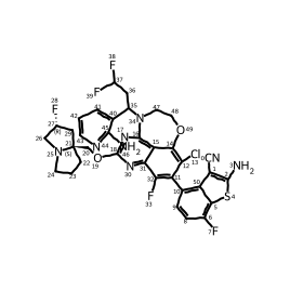 N#Cc1c(N)sc2c(F)ccc(-c3c(Cl)c4c5c(nc(OC[C@@]67CCCN6C[C@H](F)C7)nc5c3F)N(C(CC(F)F)c3cccnc3N)CCO4)c12